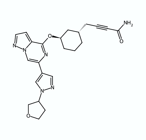 NC(=O)C#CC[C@@H]1CCC[C@@H](Oc2nc(-c3cnn(C4CCOC4)c3)cn3nccc23)C1